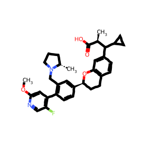 COc1cc(-c2ccc([C@@H]3CCc4ccc(C(C5CC5)[C@H](C)C(=O)O)cc4O3)cc2CN2CCC[C@@H]2C)c(F)cn1